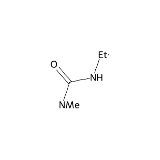 C[CH]NC(=O)NC